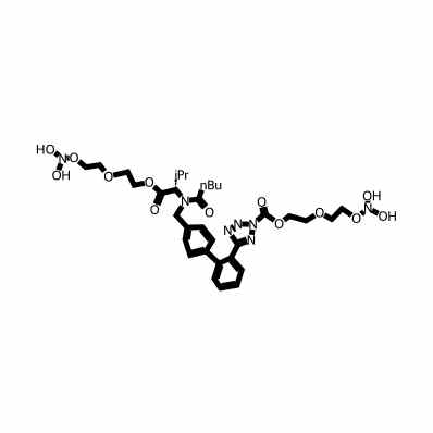 CCCCC(=O)N(Cc1ccc(-c2ccccc2-c2nnn(C(=O)OCCOCCON(O)O)n2)cc1)[C@H](C(=O)OCCOCCON(O)O)C(C)C